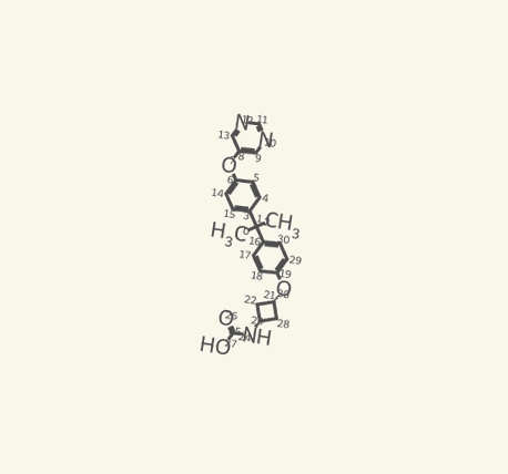 CC(C)(c1ccc(Oc2cncnc2)cc1)c1ccc(O[C@H]2C[C@H](NC(=O)O)C2)cc1